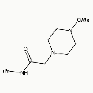 CON1CCN(CC(=O)NC(C)C)CC1